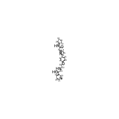 O=C(Cn1ccc(-c2ccc(OCCNCC(O)c3cccnc3)cc2)n1)NC1CCCC1